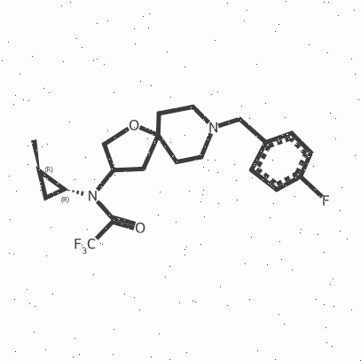 C[C@@H]1C[C@H]1N(C(=O)C(F)(F)F)C1COC2(CCN(Cc3ccc(F)cc3)CC2)C1